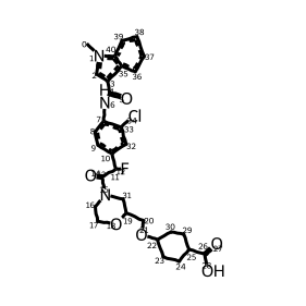 Cn1cc(C(=O)Nc2ccc(C(F)C(=O)N3CCOC(COC4CCC(C(=O)O)CC4)C3)cc2Cl)c2ccccc21